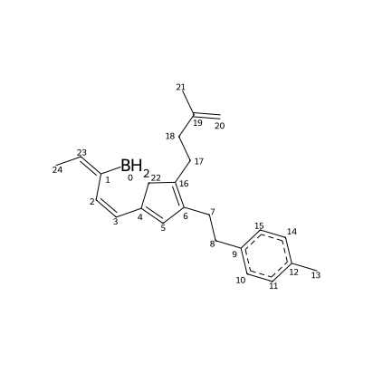 BC(/C=C\C1=CC(CCc2ccc(C)cc2)=C(CCC(=C)C)C1)=C/C